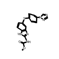 COC(=O)Nc1nc2cc(Sc3ccc(-n4cncn4)cc3)ccc2[nH]1